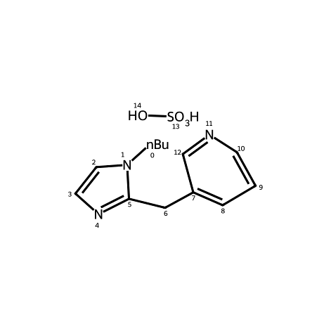 CCCCn1ccnc1Cc1cccnc1.O=S(=O)(O)O